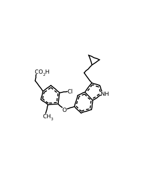 Cc1cc(CC(=O)O)cc(Cl)c1Oc1ccc2[nH]cc(CC3CC3)c2c1